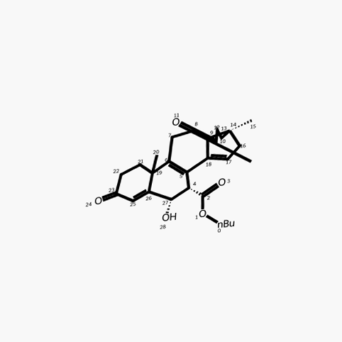 CCCCOC(=O)[C@H]1C2=C(CCC34C(=O)CC[C@]3(C)CC=C24)C2(C)CCC(=O)C=C2[C@H]1O